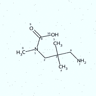 CN(CC(C)(C)CN)C(=O)O